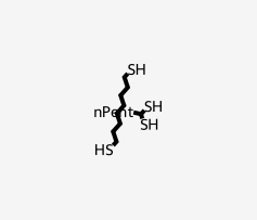 CCCCCC(S)S.SCCCCCCCCS